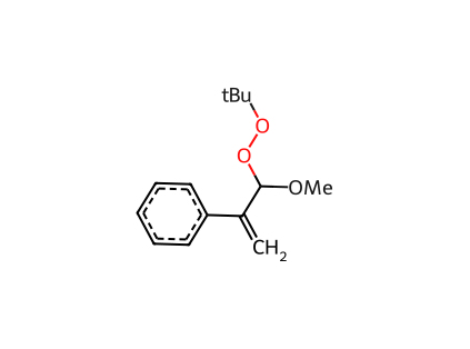 C=C(c1ccccc1)C(OC)OOC(C)(C)C